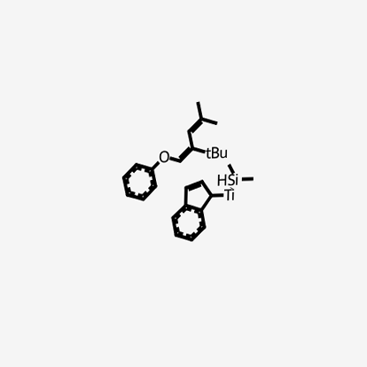 CC(C)=CC(=COc1ccccc1)C(C)(C)C.C[SiH](C)[Ti][CH]1C=Cc2ccccc21